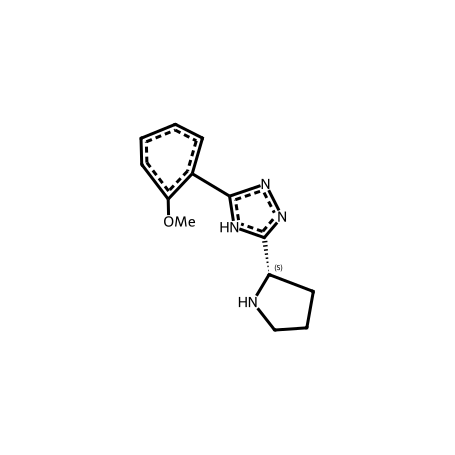 COc1ccccc1-c1nnc([C@@H]2CCCN2)[nH]1